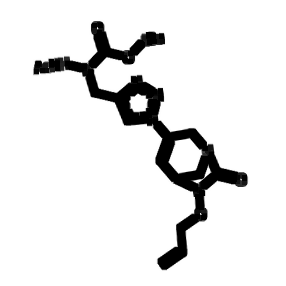 C=CCON1C(=O)N2CC(n3cc(CN(NC(C)=O)C(=O)OC(C)(C)C)nn3)=CC1C2